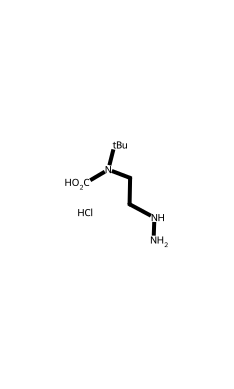 CC(C)(C)N(CCNN)C(=O)O.Cl